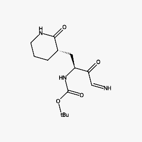 CC(C)(C)OC(=O)N[C@@H](C[C@@H]1CCCNC1=O)C(=O)C=N